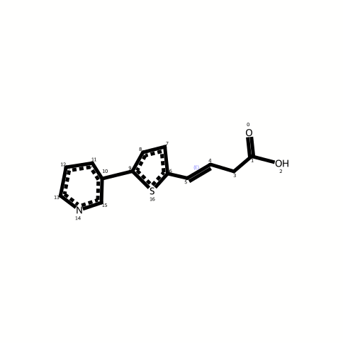 O=C(O)C/C=C/c1ccc(-c2cccnc2)s1